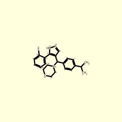 CC(C)c1ccc(C(c2cn[nH]c2-c2ccccc2F)N2CCOCC2)cc1